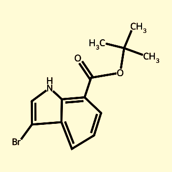 CC(C)(C)OC(=O)c1cccc2c(Br)c[nH]c12